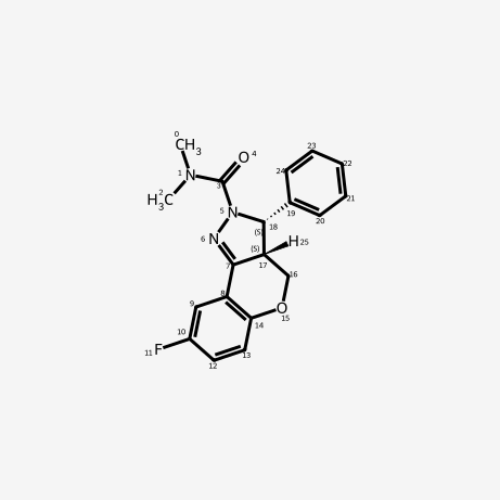 CN(C)C(=O)N1N=C2c3cc(F)ccc3OC[C@H]2[C@H]1c1ccccc1